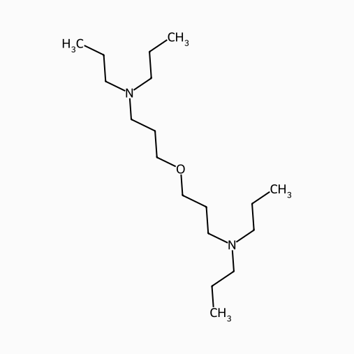 CCCN(CCC)CCCOCCCN(CCC)CCC